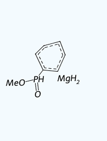 CO[PH](=O)c1ccccc1.[MgH2]